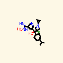 CC(C)c1ccc(C(O)(c2cncc(C(=N)NO)c2)C2(F)CN(C3CC3)C2)cc1